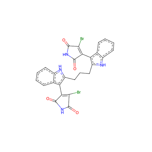 O=C1NC(=O)C(c2c(CCCc3[nH]c4ccccc4c3C3=C(Br)C(=O)NC3=O)[nH]c3ccccc23)=C1Br